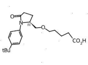 CC(C)(C)c1ccc(N2C(=O)CC[C@H]2COCCCCC(=O)O)cc1